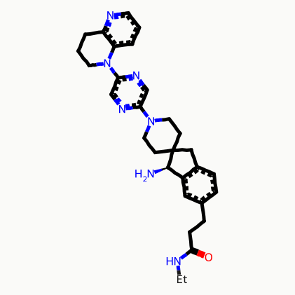 CCNC(=O)CCc1ccc2c(c1)[C@@H](N)C1(CCN(c3cnc(N4CCCc5ncccc54)cn3)CC1)C2